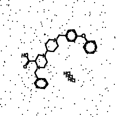 Cl.Cl.Cl.O=C(O)C1CN(C2CCN(Cc3ccc(Oc4ccccc4)cc3)CC2)CCN1Cc1ccccc1